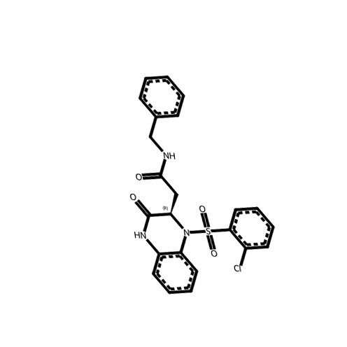 O=C(C[C@@H]1C(=O)Nc2ccccc2N1S(=O)(=O)c1ccccc1Cl)NCc1ccccc1